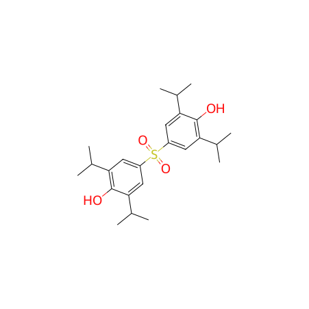 CC(C)c1cc(S(=O)(=O)c2cc(C(C)C)c(O)c(C(C)C)c2)cc(C(C)C)c1O